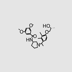 COc1cc(OC)cc(C(=O)N[C@@H]2CCCN(C(C)c3ccc(OC[C@@H](C)O)c(C)c3C)C2)c1